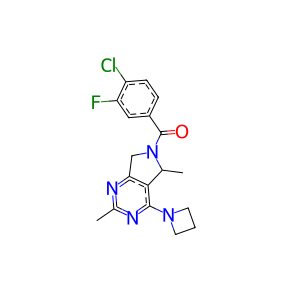 Cc1nc2c(c(N3CCC3)n1)C(C)N(C(=O)c1ccc(Cl)c(F)c1)C2